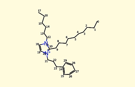 CCCCCCCCCCc1n(CCCCCC)cc[n+]1CCCc1ccccc1